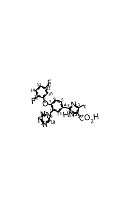 Cc1nc(-c2ccc(Oc3cc(F)ccc3F)c(-n3cnnn3)c2)[nH]c1C(=O)O